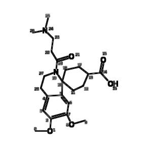 COc1cc2c(cc1OC)C1(CCC(C(=O)O)CC1)N(C(=O)CCN(C)C)CC2